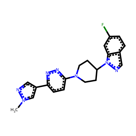 Cn1cc(-c2ccc(N3CCC(n4ncc5ccc(F)cc54)CC3)nn2)cn1